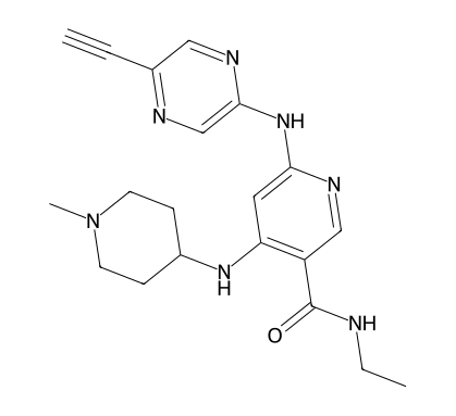 C#Cc1cnc(Nc2cc(NC3CCN(C)CC3)c(C(=O)NCC)cn2)cn1